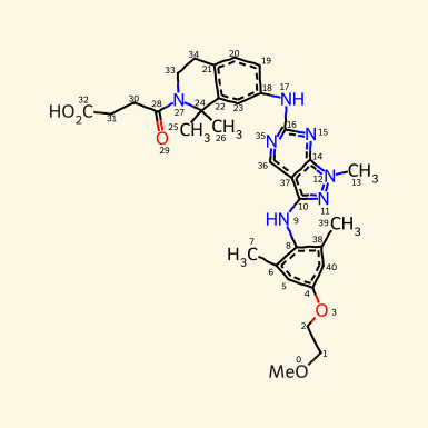 COCCOc1cc(C)c(Nc2nn(C)c3nc(Nc4ccc5c(c4)C(C)(C)N(C(=O)CCC(=O)O)CC5)ncc23)c(C)c1